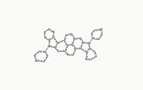 c1cnc2c3c4ccc5cc6c(c7ccc(cc3n(-c3ccncc3)c2c1)c4c57)c1ncccc1n6-c1ccncc1